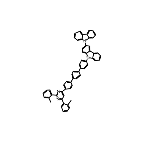 Cc1ccccc1-c1cc(-c2ccc(-c3ccc(-c4ccc(-n5c6ccccc6c6cc(-n7c8ccccc8c8ccccc87)ccc65)cc4)cc3)cc2)nc(-c2ccccc2C)n1